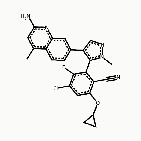 Cc1cc(N)nc2cc(-c3cnn(C)c3-c3c(F)c(Cl)cc(OC4CC4)c3C#N)ccc12